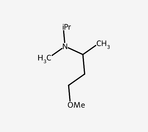 COCCC(C)N(C)C(C)C